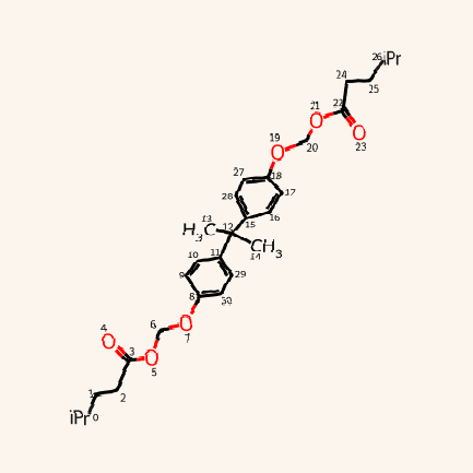 CC(C)CCC(=O)OCOc1ccc(C(C)(C)c2ccc(OCOC(=O)CCC(C)C)cc2)cc1